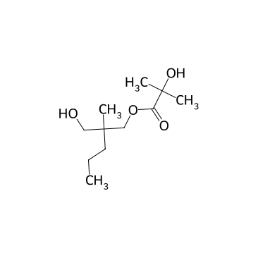 CCCC(C)(CO)COC(=O)C(C)(C)O